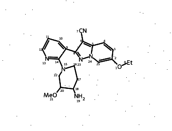 CCOc1ccc2c(C#N)c(-c3cccnc3N3CCC(N)C(OC)C3)nn2c1